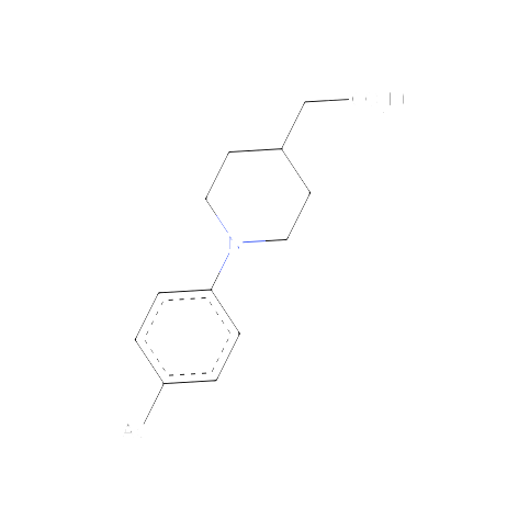 CCOC(=O)CC1CCN(c2ccc(C(C)=O)cc2)CC1